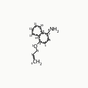 C=CCOc1ccc(N)c2ccccc12